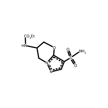 CCOC(=O)NC1COc2c(S(N)(=O)=O)cnn2C1